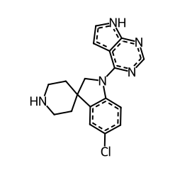 Clc1ccc2c(c1)C1(CCNCC1)CN2c1ncnc2[nH]ccc12